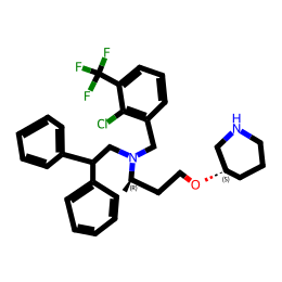 C[C@H](CCO[C@H]1CCCNC1)N(Cc1cccc(C(F)(F)F)c1Cl)CC(c1ccccc1)c1ccccc1